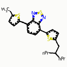 CCCC(CCC)Cc1ccc(-c2ccc(-c3ccc(C)s3)c3nsnc23)s1